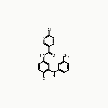 Cc1cccc(Nc2cc(NC(=O)c3ccc(Cl)nc3)ccc2Cl)c1